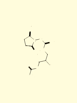 CCCCC(=O)OCC(C)COC(=O)ON1C(=O)CCC1=O